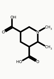 CC1C(C(=O)O)CC(C(=O)O)CN1C